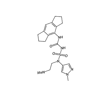 CNCCN(c1cnn(C)c1)S(=O)(=O)NC(=O)Nc1c2c(cc3c1CCC3)CCC2